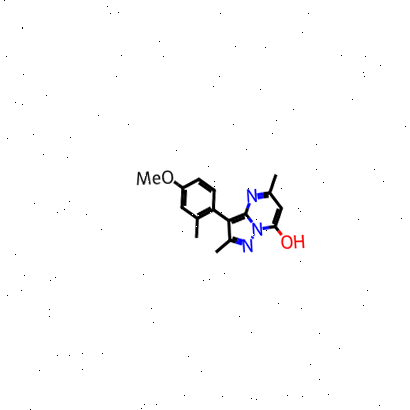 COc1ccc(-c2c(C)nn3c(O)cc(C)nc23)c(C)c1